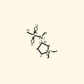 CN([C@H]1CC[N+](C)(C)C1)S(C)(=O)=O